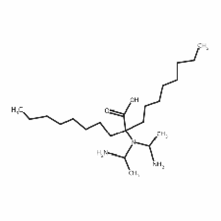 CCCCCCCCC(CCCCCCCC)(C(=O)O)N(C(C)N)C(C)N